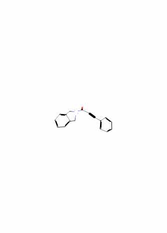 O=C(C#Cc1ccccc1)N1Cc2ccccc2C1